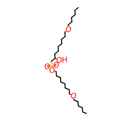 CCCCCCOCCCCCCCCOS(=O)(=O)CC(O)CCCCCCCOCCCCCC